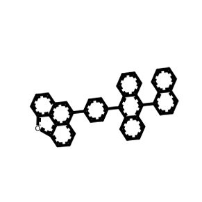 c1ccc2c(-c3c4ccccc4c(-c4ccc(-c5cc6cccc7oc8cccc5c8c67)cc4)c4ccccc34)cccc2c1